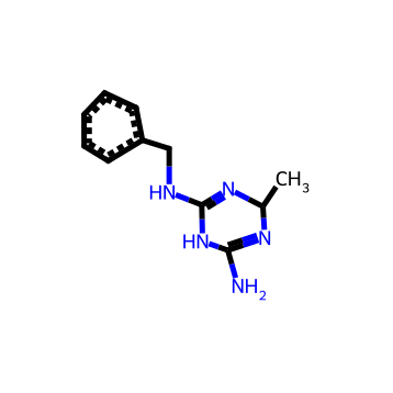 CC1N=C(N)NC(NCc2ccccc2)=N1